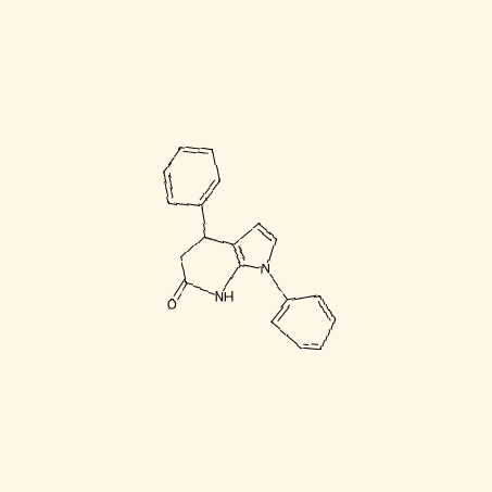 O=C1CC(c2ccccc2)c2ccn(-c3ccccc3)c2N1